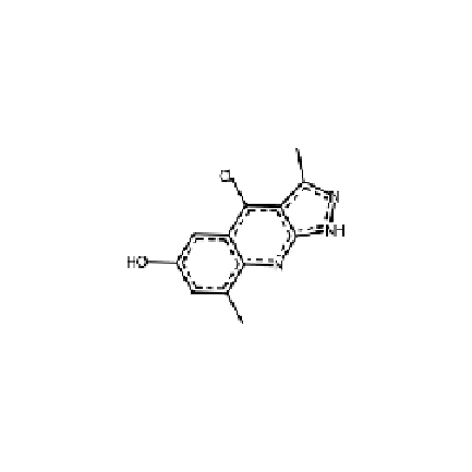 Cc1cc(O)cc2c(Cl)c3c(C)n[nH]c3nc12